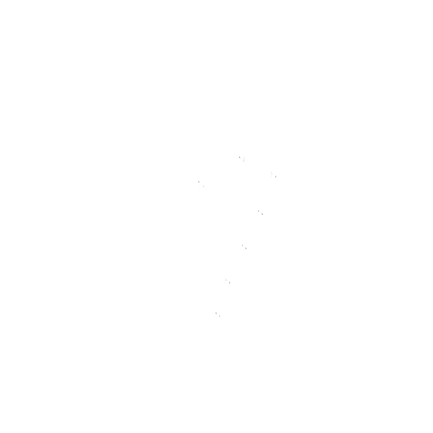 CCOc1ccc(Nc2cc(Nc3ccccc3S(C)(=O)=O)c3nc(C(F)F)[nH]c3n2)nc1C#N